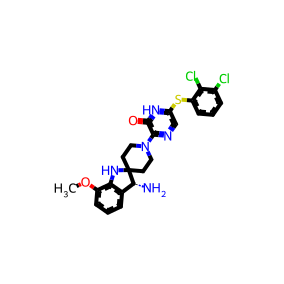 COc1cccc2c1NC1(CCN(c3ncc(Sc4cccc(Cl)c4Cl)[nH]c3=O)CC1)[C@@H]2N